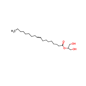 CCCCCCCCC=CCCCCCCCC(=O)OC(CO)CO